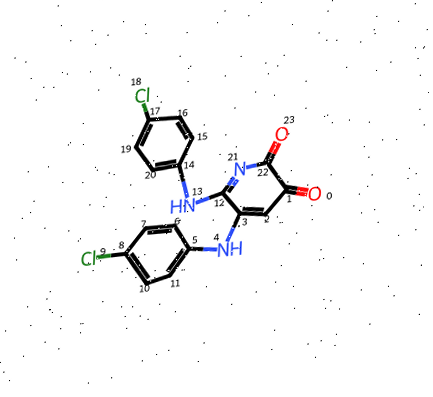 O=C1C=C(Nc2ccc(Cl)cc2)C(Nc2ccc(Cl)cc2)=NC1=O